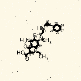 CCn1cc(C(=O)O)c(=O)c2c(N)c(F)c(N(C)CCN[C@@H]3C[C@H]3c3ccccc3)cc21